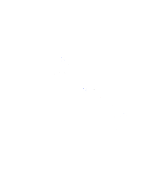 Cc1nc2cccc(OC(=O)NCCc3c(C)[nH]c4ccc(F)cc34)c2o1